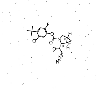 CC(C)(C)c1cc(F)c(OC(=O)N2C[C@@H]3C[C@H]3[C@@H]2C(=O)C=[N+]=[N-])cc1Cl